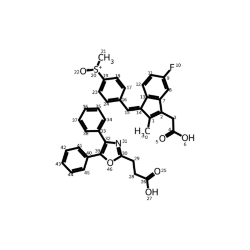 CC1=C(CC(=O)O)c2cc(F)ccc2/C1=C\c1ccc([S+](C)[O-])cc1.O=C(O)CCc1nc(-c2ccccc2)c(-c2ccccc2)o1